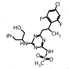 CC(C)CC(CO)Nc1nc(CC(C)c2c(F)cc(Cl)cc2F)nc(NS(C)(=O)=O)n1